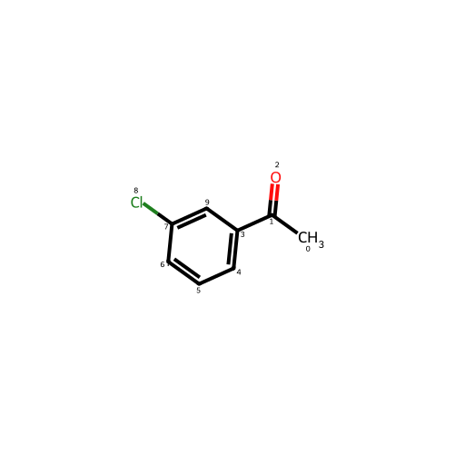 CC(=O)c1cc[c]c(Cl)c1